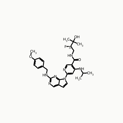 COc1ccc(CNc2ncc3ccn(-c4cc(NC(C)C)c(C(=O)NC[C@@H](F)C(C)(C)O)cn4)c3n2)cc1